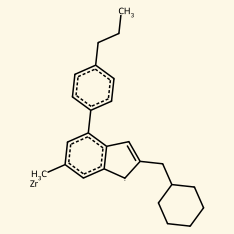 CCCc1ccc(-c2cc(C)cc3c2C=C(CC2CCCCC2)[CH]3)cc1.[Zr]